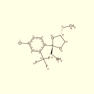 BC[C@]1(c2ccc(Cl)cc2C(F)(F)F)OC[C@@H](CC)O1